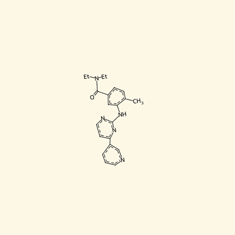 CCN(CC)C(=O)c1ccc(C)c(Nc2nccc(-c3cccnc3)n2)c1